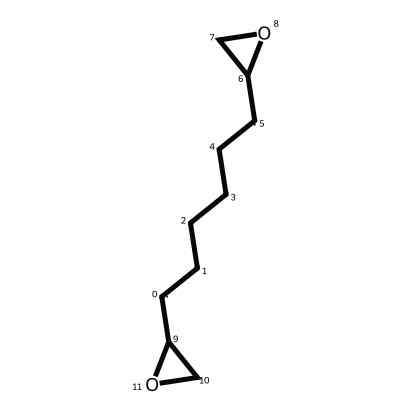 [CH](CCCC[CH]C1CO1)C1CO1